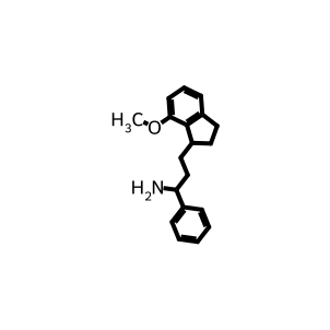 COc1cccc2c1C(CCC(N)c1ccccc1)CC2